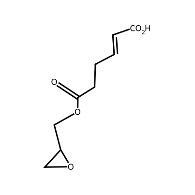 O=C(O)C=CCCC(=O)OCC1CO1